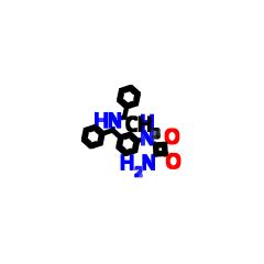 C[C@@H](NC(c1ccccc1)c1cccc(Nc2c(N)c(=O)c2=O)c1)c1ccccc1